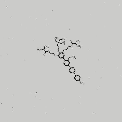 C=C(C)C(=O)OCCCc1cc(-c2ccc(-c3ccc(-c4ccc(C)cc4)cc3)cc2CC)cc(CCCOC(=O)C(=C)C)c1OCCC(CC)(CO)CO